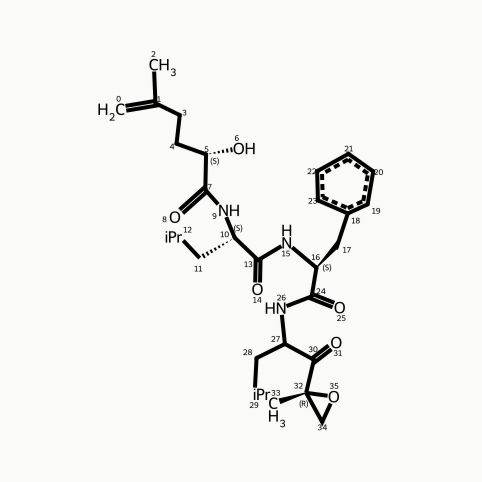 C=C(C)CC[C@H](O)C(=O)N[C@@H](CC(C)C)C(=O)N[C@@H](Cc1ccccc1)C(=O)NC(CC(C)C)C(=O)[C@@]1(C)CO1